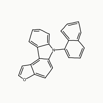 c1ccc2c(-n3c4ccccc4c4c5ccoc5ccc43)cccc2c1